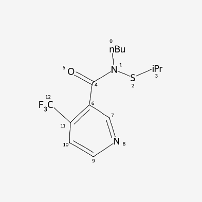 CCCCN(SC(C)C)C(=O)c1cnccc1C(F)(F)F